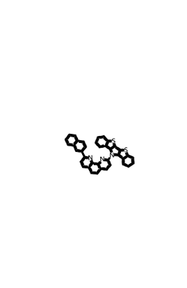 c1ccc2cc(-c3ccc4ccc5ccc(-n6c7c8ccccc8sc7c7sc8ccccc8c76)nc5c4n3)ccc2c1